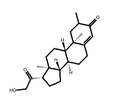 CC1C[C@@]2(C)C(=CC1=O)CC[C@H]1[C@@H]3CC[C@H](C(=O)CO)[C@@]3(C)CC[C@@H]12